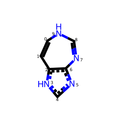 C1=Cc2[nH]cnc2N=CN1